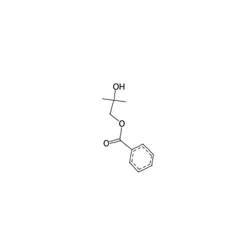 CC(C)(O)COC(=O)c1ccccc1